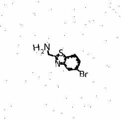 NCc1nc2cc(Br)ccc2s1